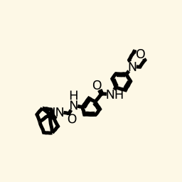 O=C(Nc1cccc(C(=O)Nc2ccc(N3CCOCC3)cc2)c1)NC12CC3CC(CC(C3)C1)C2